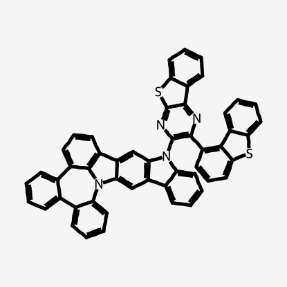 c1ccc2c(c1)-c1ccccc1-n1c3cc4c5ccccc5n(-c5nc6sc7ccccc7c6nc5-c5cccc6sc7ccccc7c56)c4cc3c3cccc-2c31